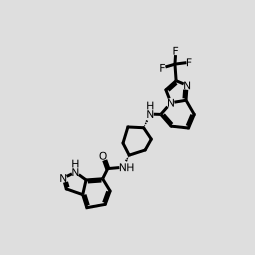 O=C(N[C@H]1CC[C@@H](Nc2cccc3nc(C(F)(F)F)cn23)CC1)c1cccc2cn[nH]c12